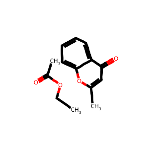 CCOC(C)=O.Cc1cc(=O)c2ccccc2o1